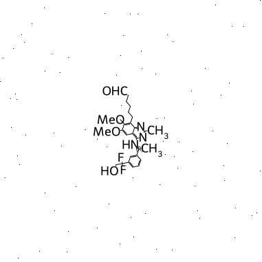 COc1cc2c(N[C@H](C)c3cccc(C(F)(F)CO)c3)nc(C)nc2c(CCCCCC=O)c1OC